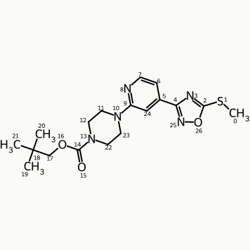 CSc1nc(-c2ccnc(N3CCN(C(=O)OCC(C)(C)C)CC3)c2)no1